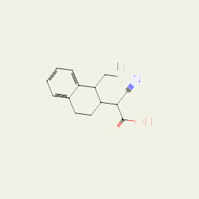 CCC1c2ccccc2CCC1C(C#N)C(=O)O